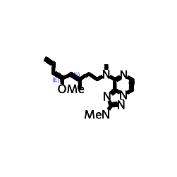 C=C/C=C(\C=C(/C)CCN(C)c1nccn2nc(NC)nc12)OC